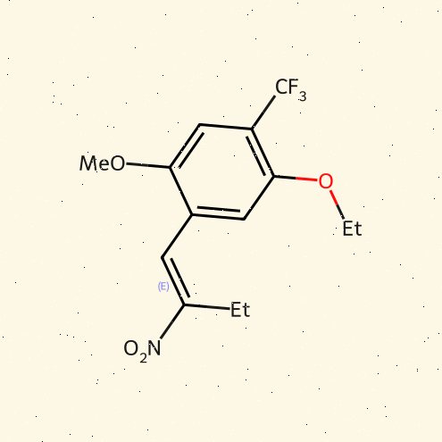 CCOc1cc(/C=C(\CC)[N+](=O)[O-])c(OC)cc1C(F)(F)F